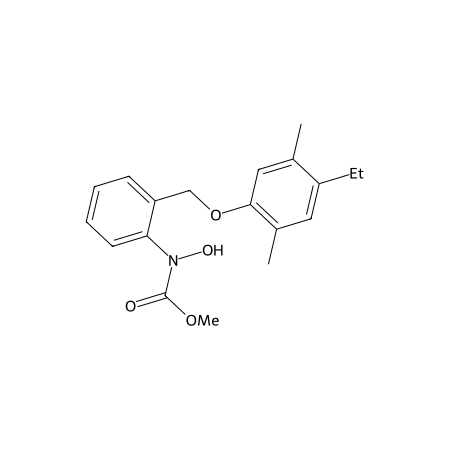 CCc1cc(C)c(OCc2ccccc2N(O)C(=O)OC)cc1C